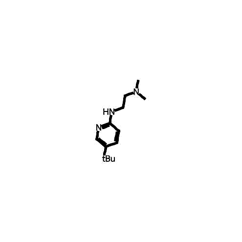 CN(C)CCNc1ccc(C(C)(C)C)cn1